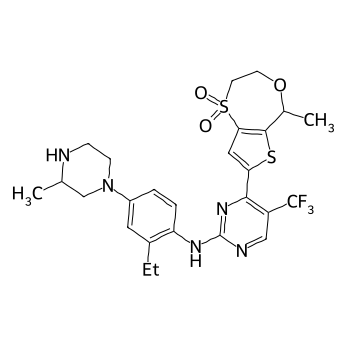 CCc1cc(N2CCNC(C)C2)ccc1Nc1ncc(C(F)(F)F)c(-c2cc3c(s2)C(C)OCCS3(=O)=O)n1